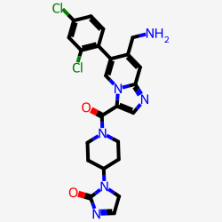 NCc1cc2ncc(C(=O)N3CCC(N4CC=NC4=O)CC3)n2cc1-c1ccc(Cl)cc1Cl